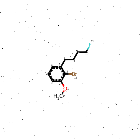 COc1cccc(CCCCF)c1Br